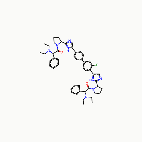 CCN(CC)[C@@H](C(=O)N1CCCC1c1ncc(-c2ccc(-c3ccc(-c4cnc(C5CCCN5C(=O)[C@@H](c5ccccc5)N(CC)CC)[nH]4)c(F)c3)cc2)[nH]1)c1ccccc1